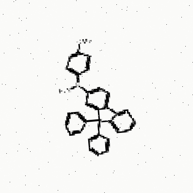 COc1ccc(N(N)c2ccc3c(c2)C(c2ccccc2)(c2ccccc2)c2ccccc2-3)cc1